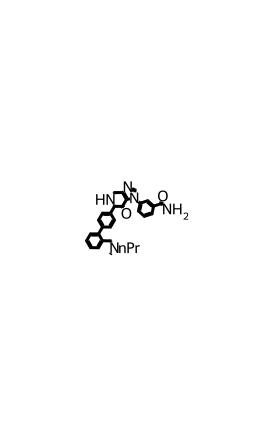 CCCN(C)Cc1ccccc1-c1ccc(C2NCc3ncn(-c4cccc(C(N)=O)c4)c3C2=O)cc1